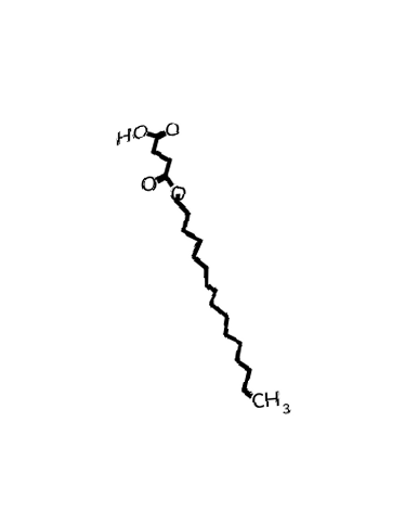 CCCCCCCCCCCCCCCCOC(=O)CCC(=O)O